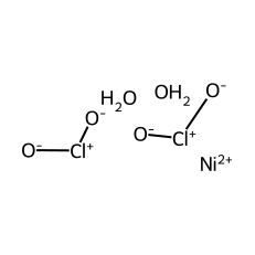 O.O.[Ni+2].[O-][Cl+][O-].[O-][Cl+][O-]